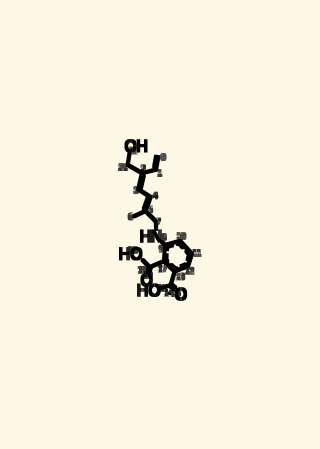 C=C/C(=C\C=C(/C)CNc1cccc(C(=O)O)c1C(=O)O)CO